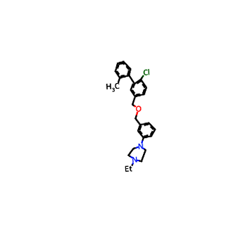 CCN1CCN(c2cccc(COCc3ccc(Cl)c(-c4ccccc4C)c3)c2)CC1